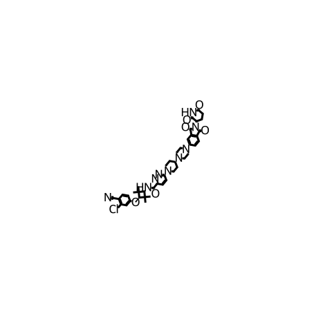 CC1(C)[C@H](NC(=O)c2ccc(N3CCC(N4CCN(c5ccc6c(c5)C(=O)N(C5CCC(=O)NC5=O)C6=O)CC4)CC3)nn2)C(C)(C)[C@H]1Oc1ccc(C#N)c(Cl)c1